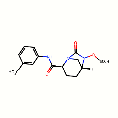 O=C(O)c1cccc(NC(=O)[C@@H]2CC[C@@H]3CN2C(=O)N3OS(=O)(=O)O)c1